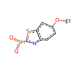 CCOc1ccc2nc([SH](=O)=O)sc2c1